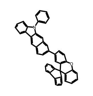 c1ccc(-n2c3ccccc3c3cc4ccc(-c5ccc6c(c5)C5(c7ccccc7O6)c6ccccc6-c6ccccc65)cc4cc32)cc1